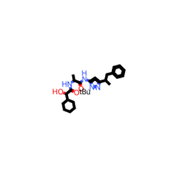 CC(NC(=O)C(O)C1CCCCC1)C(=O)Nc1cc(C(C)Cc2ccccc2)nn1C(C)(C)C